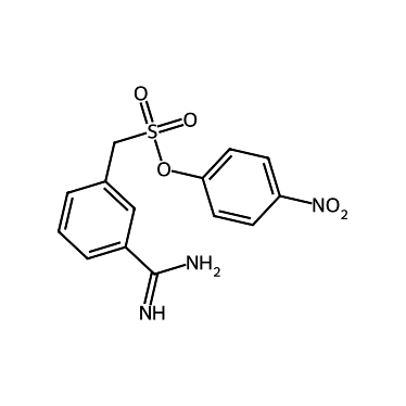 N=C(N)c1cccc(CS(=O)(=O)Oc2ccc([N+](=O)[O-])cc2)c1